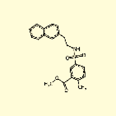 COC(=O)c1cc(S(=O)(=O)NCCc2ccc3ccccc3c2)ccc1C